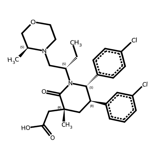 CC[C@@H](CN1CCOC[C@@H]1C)N1C(=O)[C@@](C)(CC(=O)O)C[C@H](c2cccc(Cl)c2)[C@H]1c1ccc(Cl)cc1